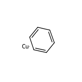 [Cu].c1ccccc1